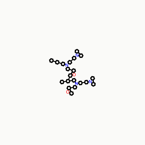 c1ccc(-c2ccc(-c3ccc(N(c4ccc(-c5ccc(-n6c7ccccc7c7ccccc76)cc5)cc4)c4cccc(-c5cccc6oc7cc(-c8cc(-c9ccccc9)ccc8-c8cccc(N(c9ccc(-c%10ccc(-n%11c%12ccccc%12c%12ccccc%12%11)cc%10)cc9)c9cccc(-c%10cccc%11oc%12ccccc%12c%10%11)c9)c8)ccc7c56)c4)cc3)cc2)cc1